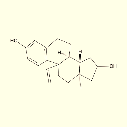 C=CC12CC[C@]3(C)CC(O)C[C@H]3[C@@H]1CCc1cc(O)ccc12